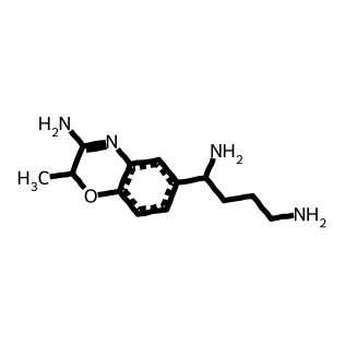 CC1Oc2ccc(C(N)CCCN)cc2N=C1N